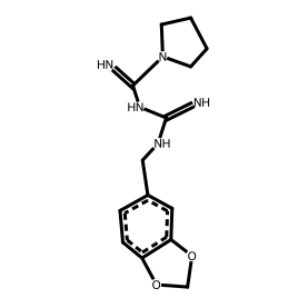 N=C(NCc1ccc2c(c1)OCO2)NC(=N)N1CCCC1